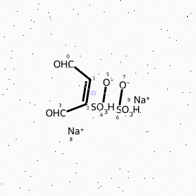 O=C/C=C\C=O.O=S(=O)([O-])O.O=S(=O)([O-])O.[Na+].[Na+]